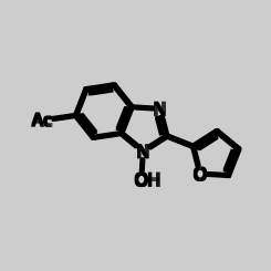 CC(=O)c1ccc2nc(-c3ccco3)n(O)c2c1